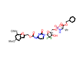 COc1cc(OC)c2oc(COC(=O)Nc3ccn([C@@H]4O[C@H](COP(=O)(O)N[C@H](C(=O)OCc5ccccc5)C(C)C)[C@@H](O)C4(F)F)c(=O)n3)cc2c1